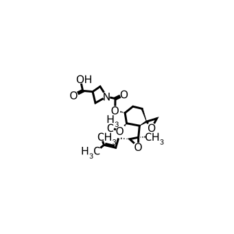 CO[C@@H]1[C@H](OC(=O)N2CC(C(=O)O)C2)CC[C@]2(CO2)[C@H]1[C@@]1(C)O[C@@H]1CC=C(C)C